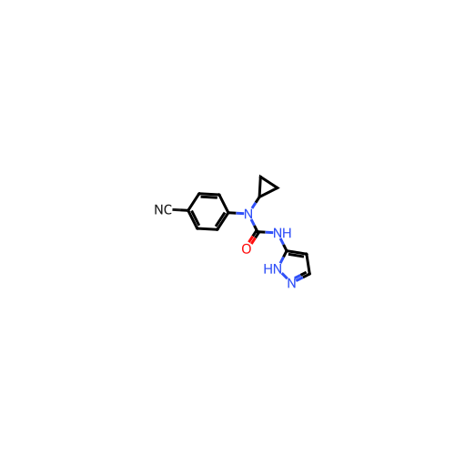 N#Cc1ccc(N(C(=O)Nc2ccn[nH]2)C2CC2)cc1